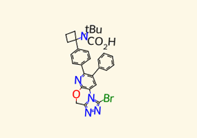 CC(C)(C)N(C(=O)O)C1(c2ccc(-c3nc4c(cc3-c3ccccc3)-n3c(Br)nnc3CO4)cc2)CCC1